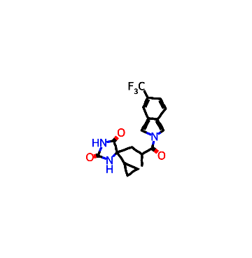 CC(CC1(C2CC2)NC(=O)NC1=O)C(=O)n1cc2ccc(C(F)(F)F)cc2c1